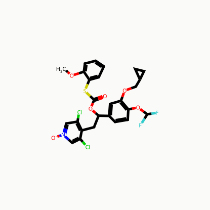 COc1ccccc1SC(=O)OC(Cc1c(Cl)c[n+]([O-])cc1Cl)c1ccc(OC(F)F)c(OCC2CC2)c1